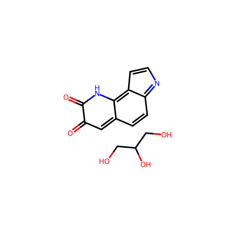 O=C1C=c2ccc3c(c2NC1=O)C=CN=3.OCC(O)CO